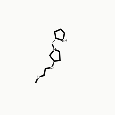 COCCO[C@@H]1CCN(C[C@@H]2CCCN2)C1